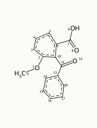 COc1cccc(C(=O)O)c1C(=O)c1ccccc1